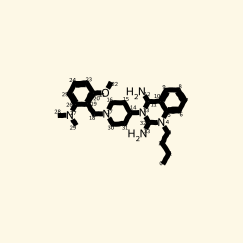 CCCCN1c2ccccc2C(N)N(C2CCN(Cc3c(OC)cccc3N(C)C)CC2)C1N